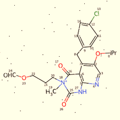 CC(C)Oc1cnc2c(c1Cc1ccc(Cl)cc1)C(=O)[N+](C)(CCCOC=O)C(=O)N2